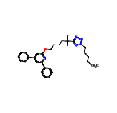 CCOC(=O)CCCCn1nnc(C(C)(C)CCCCOc2cc(-c3ccccc3)cc(-c3ccccc3)n2)n1